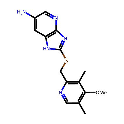 COc1c(C)cnc(CSc2nc3ncc(N)cc3[nH]2)c1C